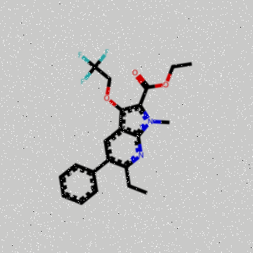 CCOC(=O)c1c(OCC(F)(F)F)c2cc(-c3ccccc3)c(CC)nc2n1C